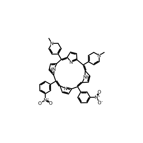 CN1C=CC(c2c3nc(c(C4=CCN(C)C=C4)c4ccc([nH]4)c(-c4cccc([N+](=O)[O-])c4)c4nc(c(-c5cccc([N+](=O)[O-])c5)c5ccc2[nH]5)C=C4)C=C3)=CC1